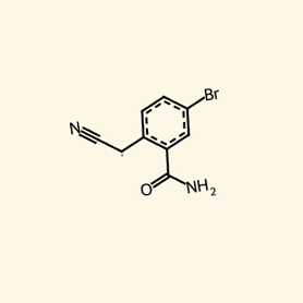 N#C[CH]c1ccc(Br)cc1C(N)=O